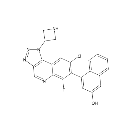 Oc1cc(-c2c(Cl)cc3c(ncc4nnn(C5CNC5)c43)c2F)c2ccccc2c1